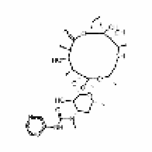 CC[C@H]1OC(=O)[C@H](C)[C@@H](O)[C@H](C)[C@@H](O[C@@H]2O[C@H](C)C[C@H](N(C)C(=O)Nc3cccnc3)[C@H]2O)[C@](C)(O)C[C@@H](C)CN[C@H](C)[C@@H](O)[C@]1(C)O